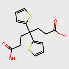 O=C(O)CCC(CCC(=O)O)(c1cccs1)c1cccs1